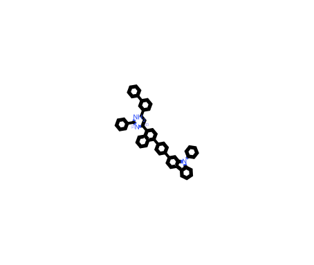 N/C(=N\C(=C/Cc1cccc(-c2ccccc2)c1)c1ccc(-c2ccc(-c3ccc4c5ccccc5n(-c5ccccc5)c4c3)cc2)c2ccccc12)c1ccccc1